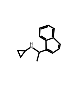 CC(NC1CC1)c1cccc2ccccc12